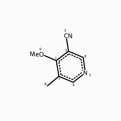 COc1c(C#N)[c]ncc1C